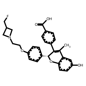 CC1=C(c2ccc(C(=O)O)cc2)[C@@H](c2ccc(OCCN3CC(CF)C3)cc2)Oc2ccc(O)cc21